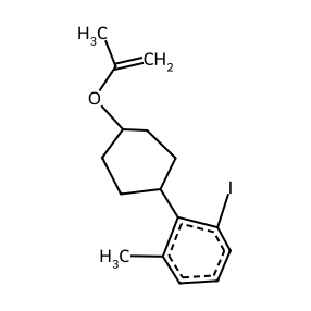 C=C(C)OC1CCC(c2c(C)cccc2I)CC1